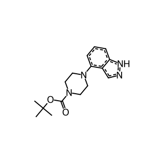 CC(C)(C)OC(=O)N1CCN(c2cccc3[nH]ncc23)CC1